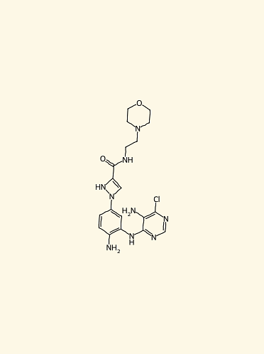 Nc1ccc(-n2cc(C(=O)NCCN3CCOCC3)[nH]2)cc1Nc1ncnc(Cl)c1N